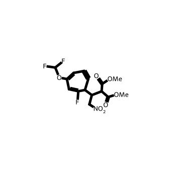 COC(=O)C(C(=O)OC)C(C[N+](=O)[O-])C1C#CC=C(OC(F)F)C=C1F